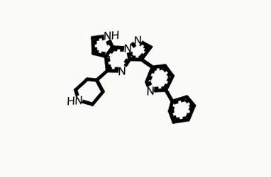 c1ccc(-c2ccc(-c3cnn4c3nc(C3CCNCC3)c3cc[nH]c34)cn2)cc1